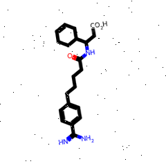 N=C(N)c1ccc(CCCCC(=O)NC(CC(=O)O)C2CC=CCC2)cc1